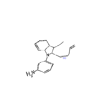 C=C/C=C\C1C(C)C2CCC=CC2N1c1cccc(N)c1